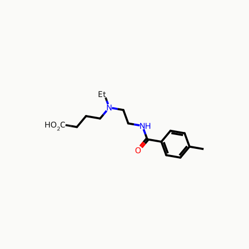 CCN(CCCC(=O)O)CCNC(=O)c1ccc(C)cc1